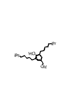 CC(C)CCCCCc1cc(CO)cc(CCCCCC(C)C)c1O